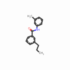 CCCc1cccc(C(=O)Nc2cccc(C)c2)c1